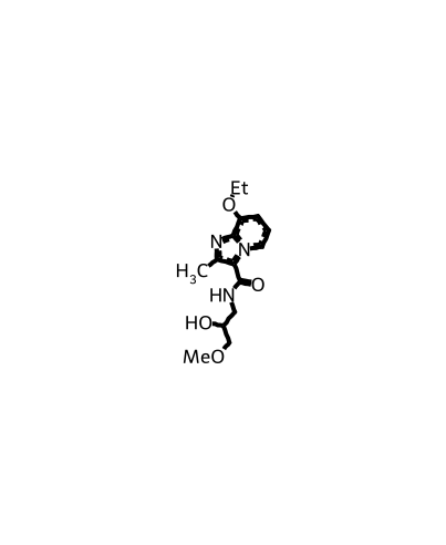 CCOc1cccn2c(C(=O)NCC(O)COC)c(C)nc12